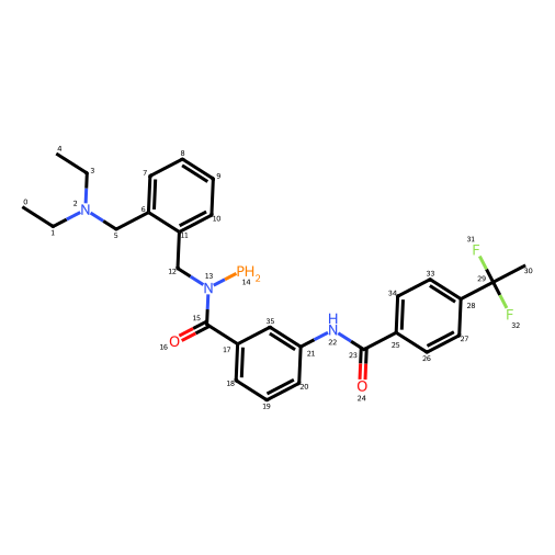 CCN(CC)Cc1ccccc1CN(P)C(=O)c1cccc(NC(=O)c2ccc(C(C)(F)F)cc2)c1